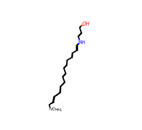 CCCCCCCCCCCCCCCCCCCCCCCC=CNCCCO